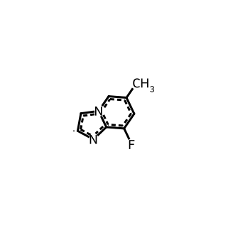 Cc1cc(F)c2n[c]cn2c1